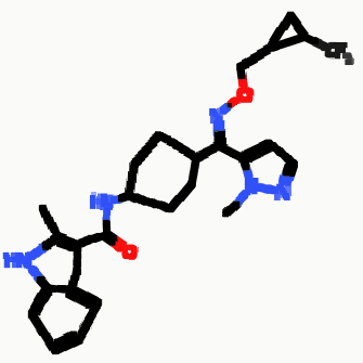 Cc1[nH]c2ccccc2c1C(=O)NC1CCC(/C(=N/OCC2CC2C(F)(F)F)c2ccnn2C)CC1